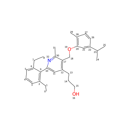 CCc1cccc(CC)c1-c1cc(CCCO)c(COc2cc(C(C)C)ccc2C)c(C)n1